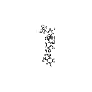 Cc1cc(NC(=O)c2ccc(OC[C@@H]3CN(C)c4cc(C)ccc4O3)c(C)c2Cl)cc(C(C)(C)C(=O)O)c1